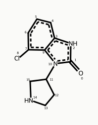 O=c1[nH]c2cccc(Cl)c2n1C1CCNC1